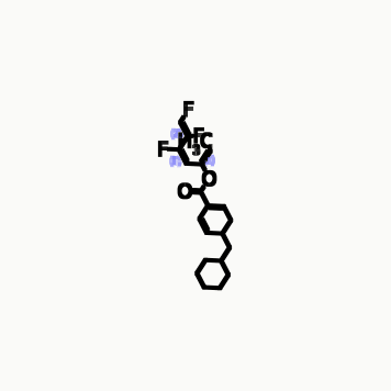 C\C=C(/C=C(F)\C(F)=C\F)OC(=O)C1=CCC(CC2CCCCC2)C=C1